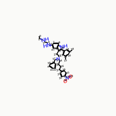 CCNCCNc1ccc2[nH]c(-c3cc(C)cc(C)c3)c(CCN(CCCCc3ccc([N+](=O)[O-])cc3)Cc3ccccc3)c2c1